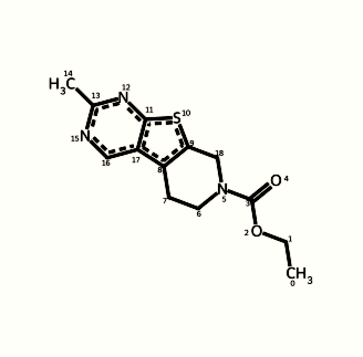 CCOC(=O)N1CCc2c(sc3nc(C)ncc23)C1